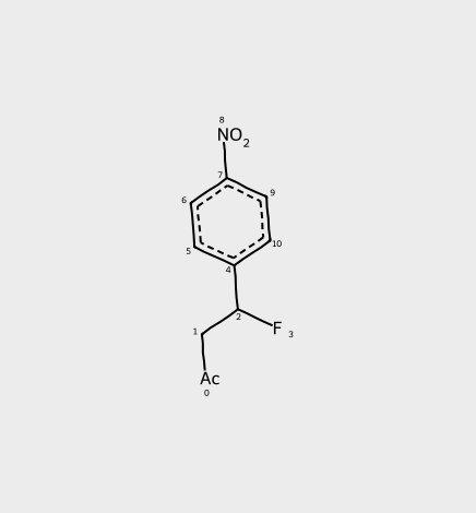 CC(=O)CC(F)c1ccc([N+](=O)[O-])cc1